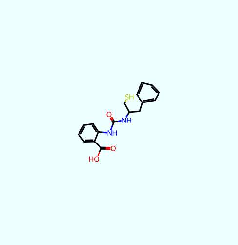 O=C(Nc1ccccc1C(=O)O)NC(CS)Cc1ccccc1